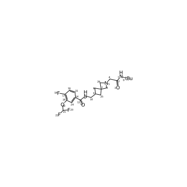 CC(C)(C)NC(=O)CN1CC2(CC(CNC(=O)c3ccc(F)c(OC(F)F)c3)C2)C1